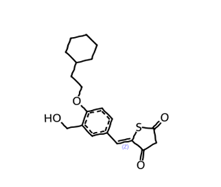 O=C1CC(=O)/C(=C/c2ccc(OCCC3CCCCC3)c(CO)c2)S1